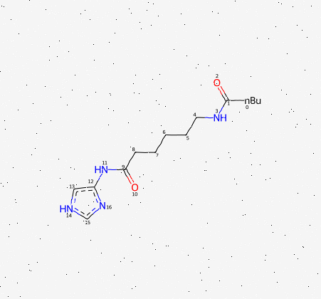 CCCCC(=O)NCCCCCC(=O)Nc1c[nH]cn1